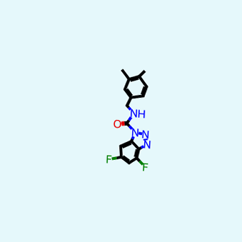 Cc1ccc(CNC(=O)n2nnc3c(F)cc(F)cc32)cc1C